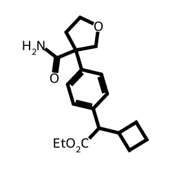 CCOC(=O)C(c1ccc(C2(C(N)=O)CCOC2)cc1)C1CCC1